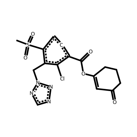 CS(=O)(=O)c1ccc(C(=O)OC2=CC(=O)CCC2)c(Cl)c1Cn1ncnn1